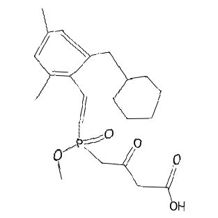 COP(=O)(/C=C/c1c(C)cc(C)cc1CC1CCCCC1)CC(=O)CC(=O)O